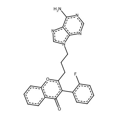 Nc1ncnc2c1ncn2CCCc1oc2ccccc2c(=O)c1-c1ccccc1F